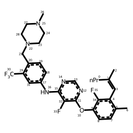 CCC/C(C)=C\c1c(C)ccc(Oc2ncnc(Nc3ccc(CN4CCN(C)CC4)c(C(F)(F)F)c3)c2F)c1F